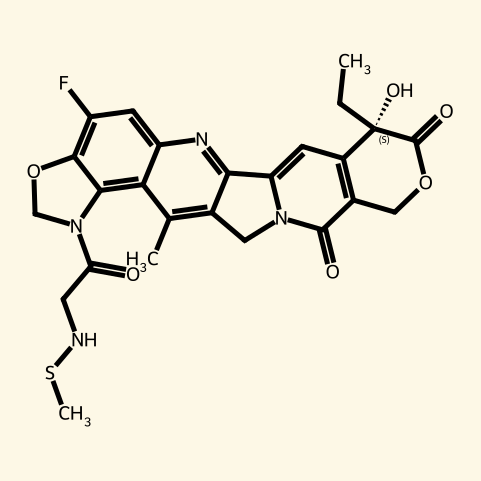 CC[C@@]1(O)C(=O)OCc2c1cc1n(c2=O)Cc2c-1nc1cc(F)c3c(c1c2C)N(C(=O)CNSC)CO3